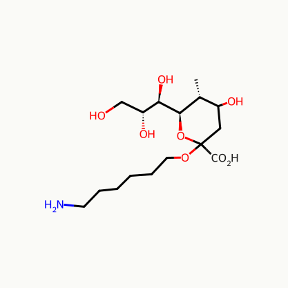 C[C@@H]1C(O)CC(OCCCCCCN)(C(=O)O)O[C@H]1[C@H](O)[C@H](O)CO